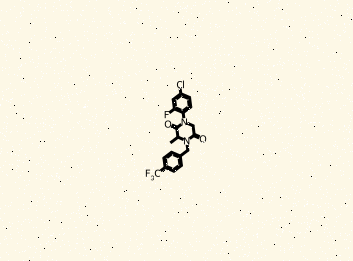 CC1C(=O)N(c2ccc(Cl)cc2F)CC(=O)N1Cc1ccc(C(F)(F)F)cc1